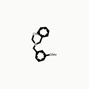 COc1cccc(CN(CC=O)Cc2ccccc2)c1